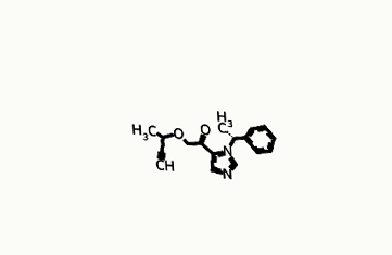 C#CC(C)OCC(=O)c1cncn1[C@H](C)c1ccccc1